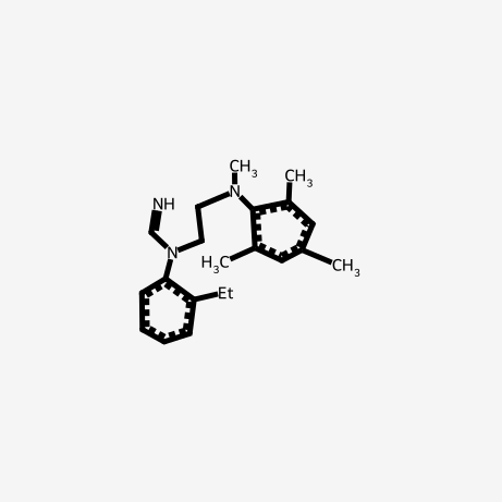 CCc1ccccc1N(C=N)CCN(C)c1c(C)cc(C)cc1C